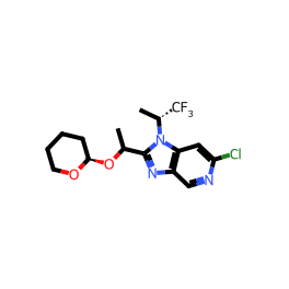 CC(O[C@@H]1CCCCO1)c1nc2cnc(Cl)cc2n1[C@H](C)C(F)(F)F